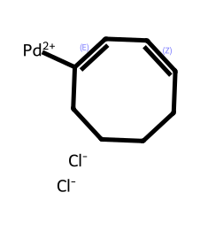 [Cl-].[Cl-].[Pd+2]/[C]1=C/C=C\CCCC1